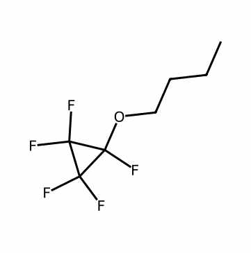 CCCCOC1(F)C(F)(F)C1(F)F